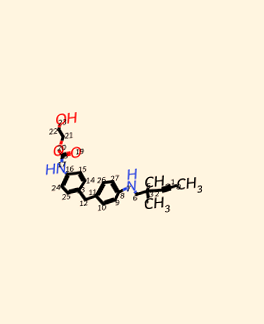 CC#CC(C)(C)CNc1ccc(Cc2ccc(NC(=O)OCCO)cc2)cc1